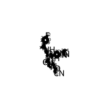 N#CCC(=O)N1CCN(C(=O)[C@H](CCCN[C@@H]2C[C@H]2c2ccc(F)cc2)NC(=O)c2ccc(-n3ccnn3)cc2)CC1